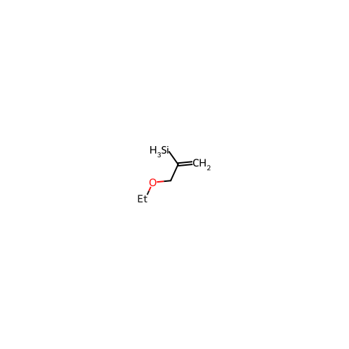 C=C([SiH3])COCC